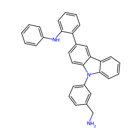 NCc1cccc(-n2c3ccccc3c3cc(-c4ccccc4Nc4ccccc4)ccc32)c1